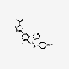 CC(C)N1CCC(C(=O)N(Cc2ccc(-c3nnc(C(F)F)o3)cc2F)c2ccccc2)CC1